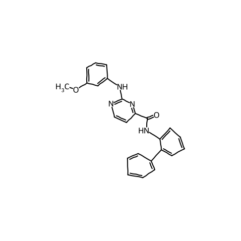 COc1cccc(Nc2nccc(C(=O)Nc3ccccc3-c3ccccc3)n2)c1